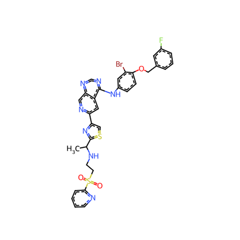 CC(NCCS(=O)(=O)c1ccccn1)c1nc(-c2cc3c(Nc4ccc(OCc5cccc(F)c5)c(Br)c4)ncnc3cn2)cs1